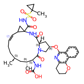 C[C@H]1CC/C=C\C2CC2(C(=O)NS(=O)(=O)C2(C)CC2)NC(=O)[C@@H]2C[C@@H](Oc3nc4c(c5ccccc35)OCCC4)CN2C(=O)[C@@H](NC(=O)O)[C@H](C)C1